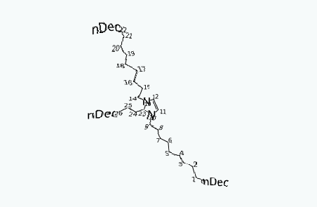 CCCCCCCCCCCCCCCCCCCN1C=CN(CCCCCCCCCCCCCCCCCC)C1CCCCCCCCCCCC